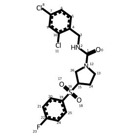 O=C(NCc1ccc(Cl)cc1Cl)N1CCC(S(=O)(=O)c2ccc(F)cc2)C1